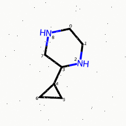 C1CNC(C2CC2)CN1